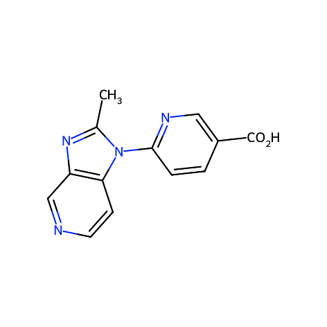 Cc1nc2cnccc2n1-c1ccc(C(=O)O)cn1